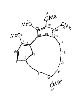 COC1=C2CC(C=C1)CC[C@@H](OC)CCCCC1=C(OC)C(OC)=C(OC)C2C1